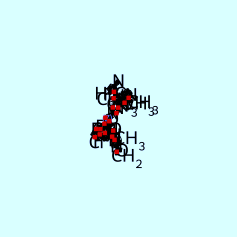 C=CC(=O)N1CCN(c2nc(=O)n(-c3ccc(/C=C\C(=O)N4CCN(c5nc(=O)n(-c6c(C)ccnc6C(C)C)c6nc(-c7cc(C#N)ccc7F)c(Cl)cc56)[C@@H](C)C4)cc3OC(F)(F)F)c3nc(-c4c(O)cccc4F)c(Cl)cc23)[C@@H](C)C1